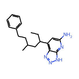 CCC(CC(C)CCc1ccccc1)c1cc(N)nc2[nH]nnc12